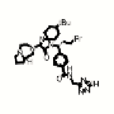 CC(C)CC[C@H](c1ccc(C(=O)NCc2nn[nH]n2)cc1)N1C(=O)C(N2CCN3CCC[C@H]3C2)=NC12CCC(C(C)(C)C)CC2